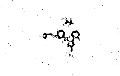 CNCc1cc(-c2ccccc2F)n(S(=O)(=O)c2cccc(OCC3CNC3)c2)c1.O=C(O)C(F)(F)F